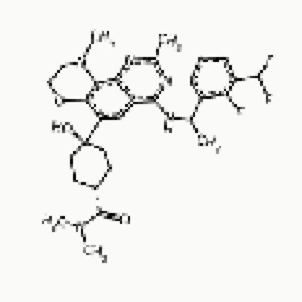 Cc1nc(N[C@H](C)c2cccc(C(F)F)c2F)c2cc([C@]3(O)CC[C@H](C(=O)N(C)C)CC3)c3c(c2n1)N(C)CCO3